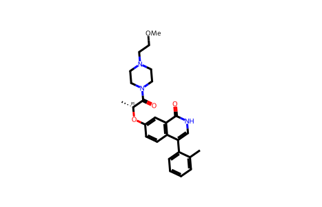 COCCN1CCN(C(=O)[C@@H](C)Oc2ccc3c(-c4ccccc4C)c[nH]c(=O)c3c2)CC1